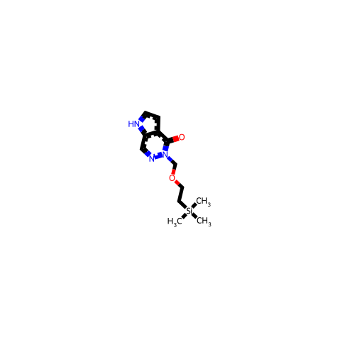 C[Si](C)(C)CCOCn1ncc2[nH]ccc2c1=O